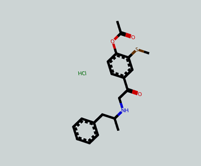 CSc1cc(C(=O)CNC(C)Cc2ccccc2)ccc1OC(C)=O.Cl